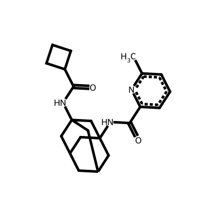 Cc1cccc(C(=O)NC23CC4CC(C2)CC(NC(=O)C2CCC2)(C4)C3)n1